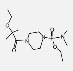 CCOC(C)(C)C(=O)N1CCN(P(=O)(OCC)N(C)C)CC1